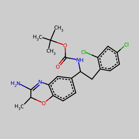 CC1Oc2ccc(C(Cc3ccc(Cl)cc3Cl)NC(=O)OC(C)(C)C)cc2N=C1N